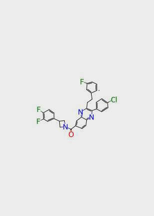 O=C(c1ccc2nc(-c3ccc(Cl)cc3)c(CCc3[c]ccc(F)c3)nc2c1)N1CC(c2ccc(F)c(F)c2)C1